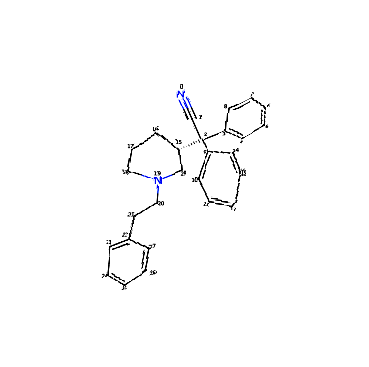 N#CC(c1ccccc1)(c1ccccc1)[C@H]1CCCN(CCc2ccccc2)C1